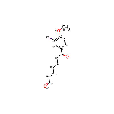 COc1ccc(C(=O)CCCCCC=O)cc1I